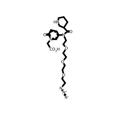 [N-]=[N+]=NCCOCCOCCOCCN(C(=O)C1CCCNC1)c1ccc(=O)n(CC(=O)O)c1